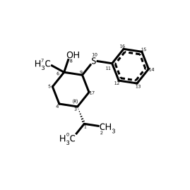 CC(C)[C@@H]1CCC(C)(O)C(Sc2ccccc2)C1